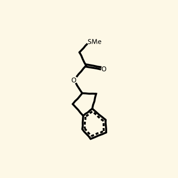 CSCC(=O)OC1Cc2ccccc2C1